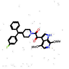 COc1ncc(OC)c2c(C(=O)C(=O)N3CCC(=C(c4ccccc4)c4ccc(F)cc4)CC3)c[nH]c12